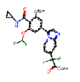 COC(=O)C(F)(F)c1ccn2c(-c3cc(OC)c(C(=O)NC4CC4)c(OC(F)F)c3)cnc2c1